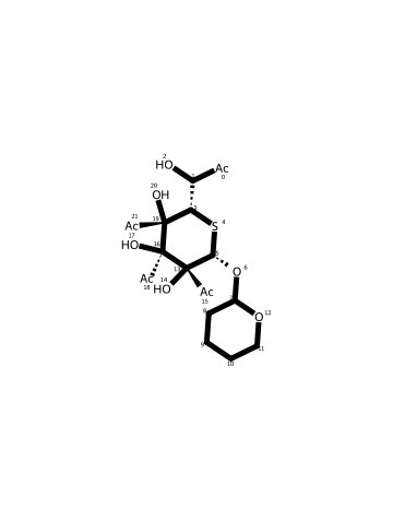 CC(=O)C(O)[C@@H]1S[C@H](OC2CCCCO2)[C@@](O)(C(C)=O)[C@](O)(C(C)=O)[C@@]1(O)C(C)=O